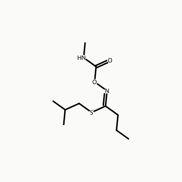 CCCC(=NOC(=O)NC)SCC(C)C